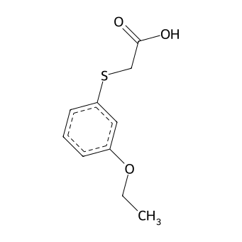 CCOc1cccc(SCC(=O)O)c1